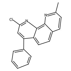 Cc1ccc2ccc3c(-c4ccccc4)cc(Cl)nc3c2n1